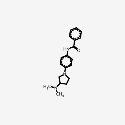 CN(C)C1CCN(c2ccc(NC(=O)c3ccccc3)cc2)C1